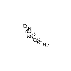 O=C(Nc1ccc2nc(CCN3CCCC3)oc2c1)c1cnc(-c2ccccc2)nc1